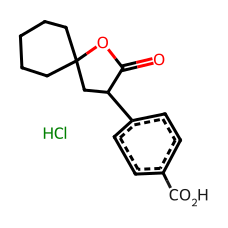 Cl.O=C(O)c1ccc(C2CC3(CCCCC3)OC2=O)cc1